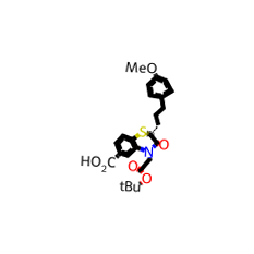 COc1ccc(CCC[C@H]2Sc3ccc(C(=O)O)cc3N(CC(=O)OC(C)(C)C)C2=O)cc1